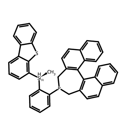 C[Si@@H](c1ccccc1P1Cc2ccc3ccccc3c2-c2c(ccc3ccccc23)C1)c1cccc2c1sc1ccccc12